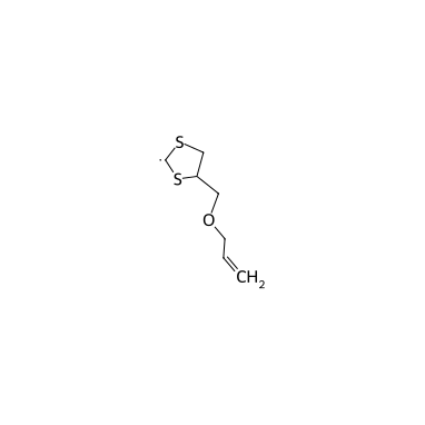 C=CCOCC1CS[CH]S1